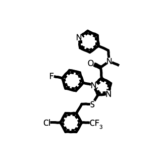 CN(Cc1ccncc1)C(=O)c1cnc(SCc2cc(Cl)ccc2C(F)(F)F)n1-c1ccc(F)cc1